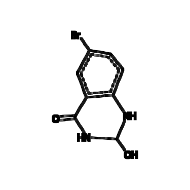 O=C1NC(O)Nc2ccc(Br)cc21